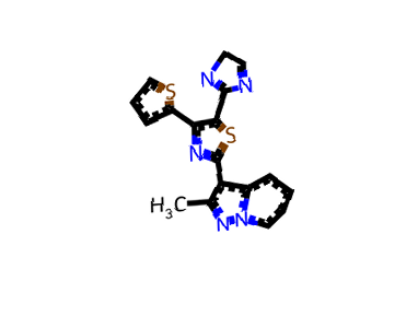 Cc1nn2ccccc2c1-c1nc(-c2cccs2)c(C2=NCC=N2)s1